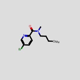 COCCCN(C)C(=O)c1ccc(Br)cn1